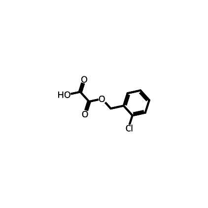 O=C(O)C(=O)OCc1ccccc1Cl